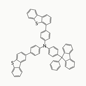 c1ccc(C2(c3ccc(N(c4ccc(-c5ccc6sc7ccccc7c6c5)cc4)c4ccc(-c5cccc6c5sc5ccccc56)cc4)cc3)c3ccccc3-c3ccccc32)cc1